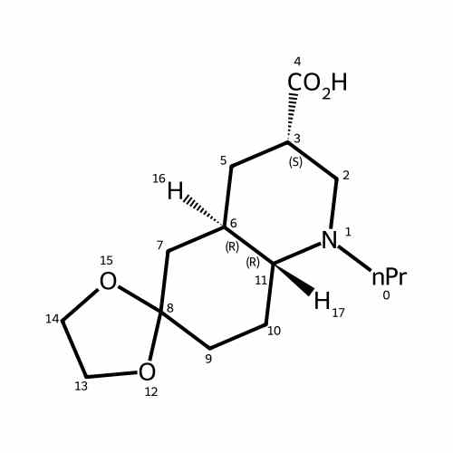 CCCN1C[C@@H](C(=O)O)C[C@@H]2CC3(CC[C@H]21)OCCO3